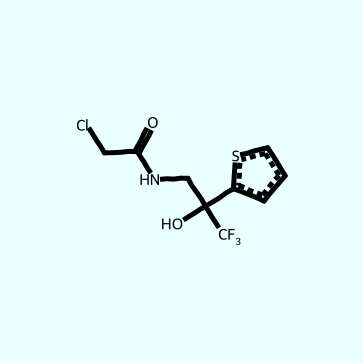 O=C(CCl)NCC(O)(c1cccs1)C(F)(F)F